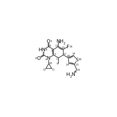 CC1c2c(c(=O)[nH]c(=O)n2C2CC2)C(N)=C(F)C1c1csc(CN)c1